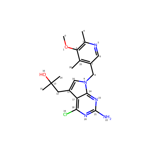 COc1c(C)ncc(Cn2cc(CC(C)(C)O)c3c(Cl)nc(N)nc32)c1C